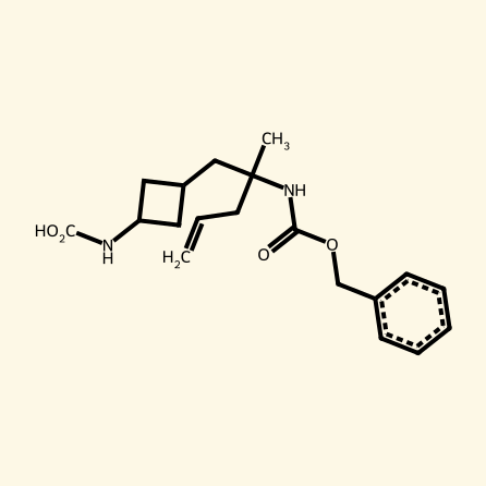 C=CCC(C)(CC1CC(NC(=O)O)C1)NC(=O)OCc1ccccc1